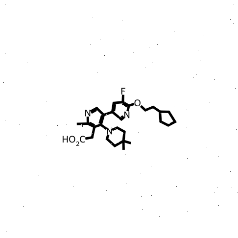 Cc1ncc(-c2cnc(OCCC3CCCC3)c(F)c2)c(N2CCC(C)(C)CC2)c1CC(=O)O